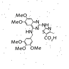 COc1cc2nc(Nc3nc(C)c(C(=O)O)s3)nc(NCc3cc(OC)c(OC)c(OC)c3)c2cc1OC